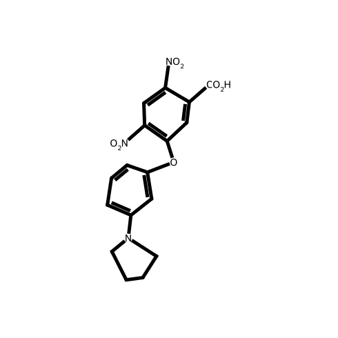 O=C(O)c1cc(Oc2cccc(N3CCCC3)c2)c([N+](=O)[O-])cc1[N+](=O)[O-]